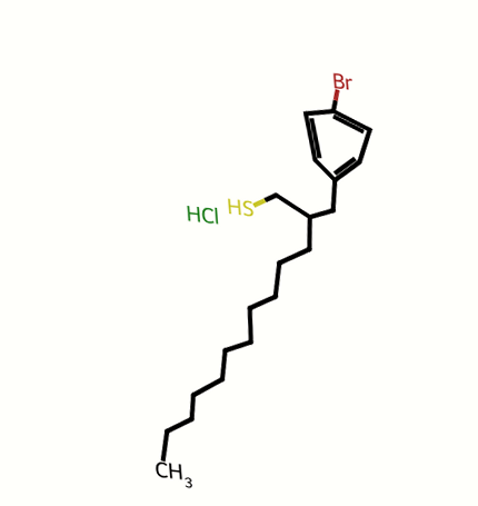 CCCCCCCCCCCC(CS)Cc1ccc(Br)cc1.Cl